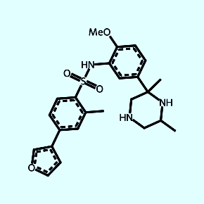 COc1ccc(C2(C)CNCC(C)N2)cc1NS(=O)(=O)c1ccc(-c2ccoc2)cc1C